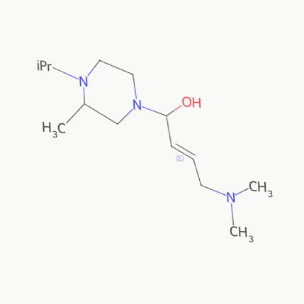 CC(C)N1CCN(C(O)/C=C/CN(C)C)CC1C